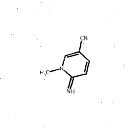 Cn1cc(C#N)ccc1=N